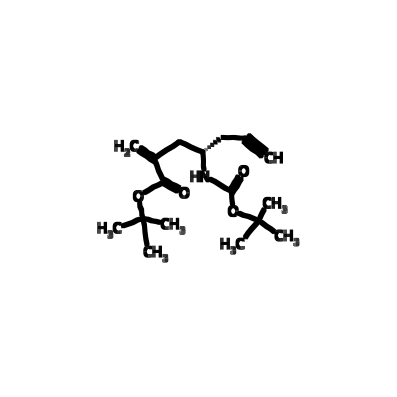 C#CC[C@@H](CC(=C)C(=O)OC(C)(C)C)NC(=O)OC(C)(C)C